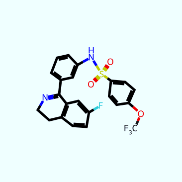 O=S(=O)(Nc1cccc(C2=NCCc3ccc(F)cc32)c1)c1ccc(OC(F)(F)F)cc1